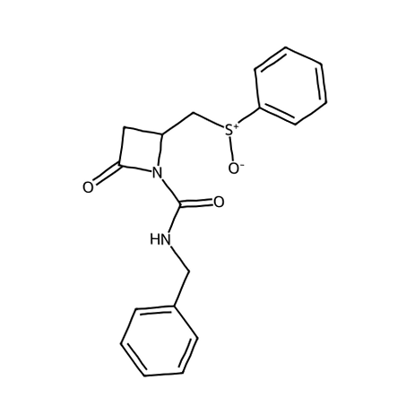 O=C1CC(C[S+]([O-])c2ccccc2)N1C(=O)NCc1ccccc1